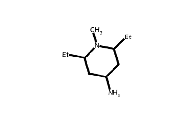 CCC1CC(N)CC(CC)N1C